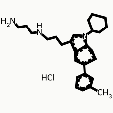 Cc1cccc(-c2ccc3c(c2)c(CCCNCCCN)cn3C2CCCCC2)c1.Cl